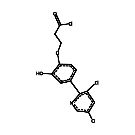 O=C(Cl)CCOc1ccc(-c2ncc(Cl)cc2Cl)cc1O